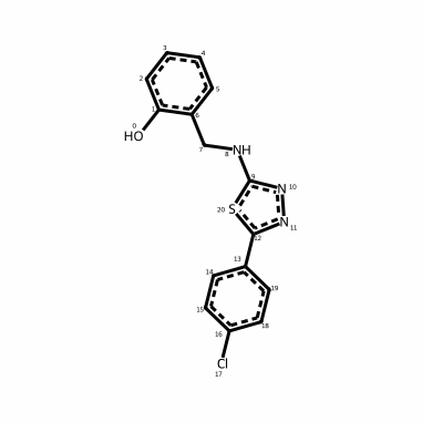 Oc1ccccc1CNc1nnc(-c2ccc(Cl)cc2)s1